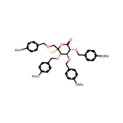 COc1ccc(COC[C@]2(S)OC(=O)[C@H](OCc3ccc(OC)cc3)[C@@H](OCc3ccc(OC)cc3)[C@@H]2OCc2ccc(OC)cc2)cc1